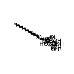 CCCCCCCCCCCCCCCCOCCO[C@@H]1O[C@H](CO)[C@@H](O[C@H]2O[C@H](CO)[C@@H](O)[C@H](O)[C@H]2O)[C@H](O)[C@H]1O